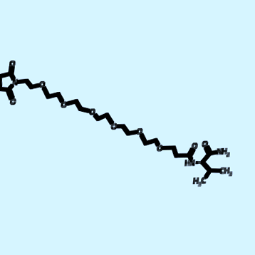 CC(C)[C@H](NC(=O)CCOCCOCCOCCOCCOCCOCCN1C(=O)C=CC1=O)C(N)=O